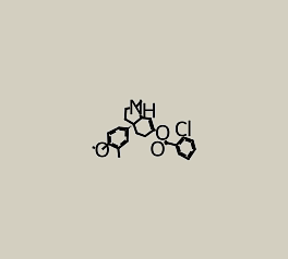 COc1ccc([C@@]23CCC(OC(=O)c4ccccc4Cl)=C[C@@H]2N(C)CC3)cc1C